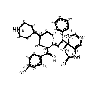 O=C1NC2=CN=CNC2(C(CN2CCC(C3CCNCC3)CC2C(=O)c2ccc(O)cc2)c2ccccc2)N1